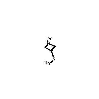 CC(C)SC1CN(C(C)C)C1